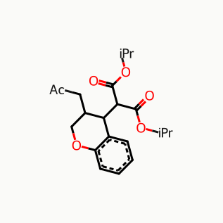 CC(=O)CC1COc2ccccc2C1C(C(=O)OC(C)C)C(=O)OC(C)C